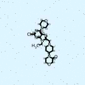 CCn1c(CN2CCC(N3CCOCC3=O)CC2)nc2c(N3CCOCC3)nc(Cl)nc21